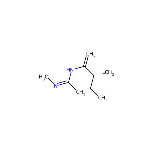 C=C(N/C(C)=N\C)[C@H](C)CC